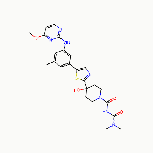 COc1ccnc(Nc2cc(C)cc(-c3cnc(C4(O)CCN(C(=O)NC(=O)N(C)C)CC4)s3)c2)n1